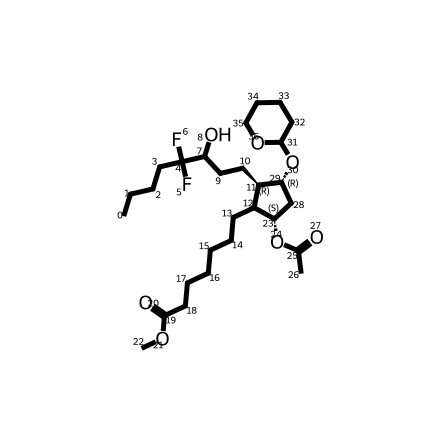 CCCCC(F)(F)C(O)CC[C@@H]1C(CCCCCCC(=O)OC)[C@@H](OC(C)=O)C[C@H]1OC1CCCCO1